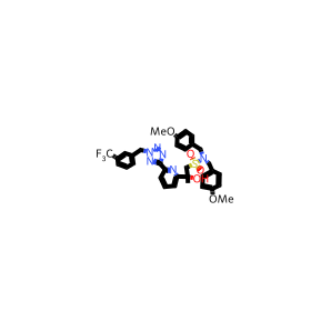 COc1ccc(CN(Cc2ccc(OC)cc2)S(=O)(=O)CC(C)(O)c2cccc(-c3nnn(Cc4cccc(C(F)(F)F)c4)n3)n2)cc1